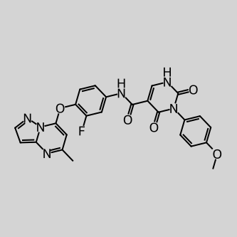 COc1ccc(-n2c(=O)[nH]cc(C(=O)Nc3ccc(Oc4cc(C)nc5ccnn45)c(F)c3)c2=O)cc1